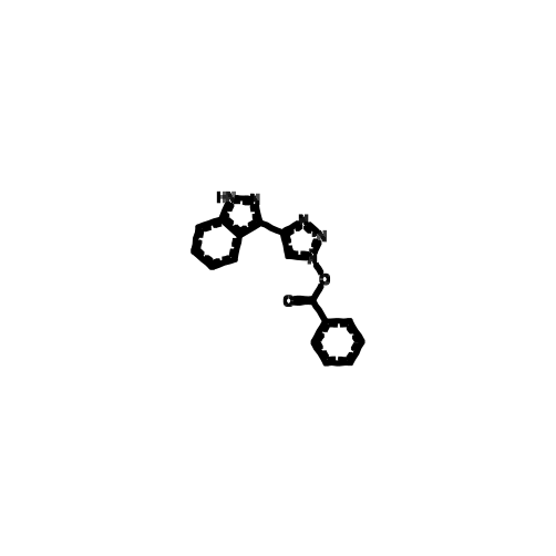 O=C(On1cc(-c2n[nH]c3ccccc23)nn1)c1ccccc1